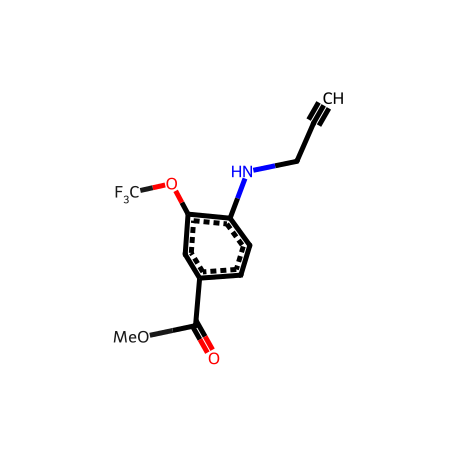 C#CCNc1ccc(C(=O)OC)cc1OC(F)(F)F